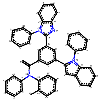 C=C(c1cc(-c2cc3ccccc3n2-c2ccccc2)cc(-c2nc3ccccc3n2-c2ccccc2)c1)N(c1ccccc1)c1ccccc1C